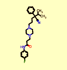 CC(C)C(C#N)(CCCN1CCN(CCC(=O)Nc2ccc(F)cc2)CC1)c1ccccc1